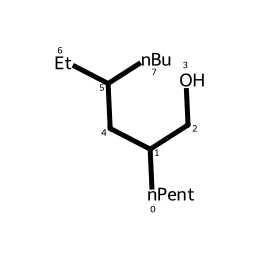 CCCCCC(CO)CC(CC)CCCC